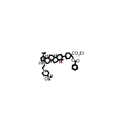 C=C(C)[C@@H]1CC[C@]2(NCCN3CCC(S(C)(=O)=O)CC3)CC[C@]3(C)[C@H](CC[C@@H]4[C@@]5(C)CC=C(C6=CCC(COC(=O)c7ccccc7)(C(=O)OCC)CC6)C(C)(C)[C@@H]5CC[C@]43C)[C@@H]12